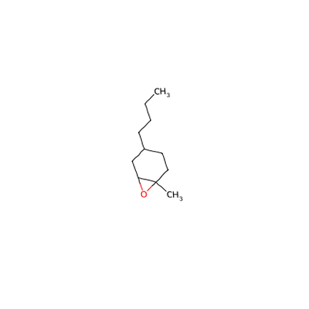 CCCCC1CCC2(C)OC2C1